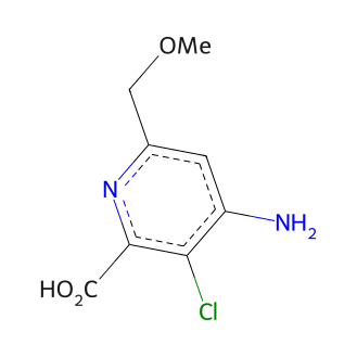 COCc1cc(N)c(Cl)c(C(=O)O)n1